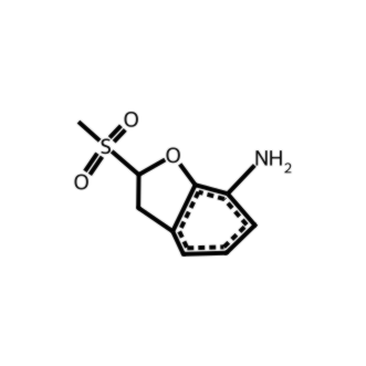 CS(=O)(=O)C1Cc2cccc(N)c2O1